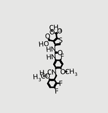 COC(=O)c1scc(NC(=O)Nc2cc(N(C)Cc3c(OC)ccc(F)c3F)c(OC)cc2F)c1C(=O)O